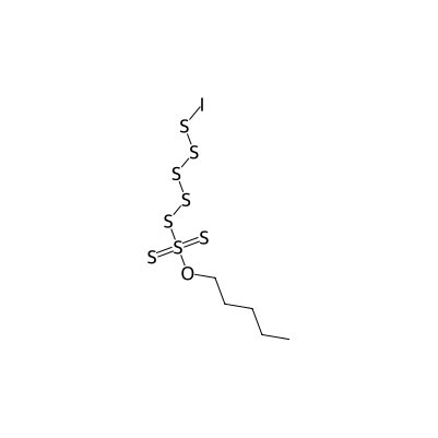 CCCCCOS(=S)(=S)SSSSSI